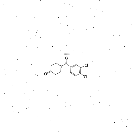 C=C.O=C1CCN(C(=O)c2ccc(Cl)c(Cl)c2)CC1